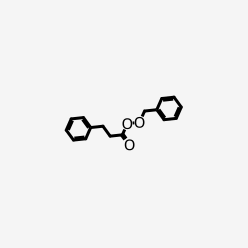 O=C(CCc1ccccc1)OOCc1ccccc1